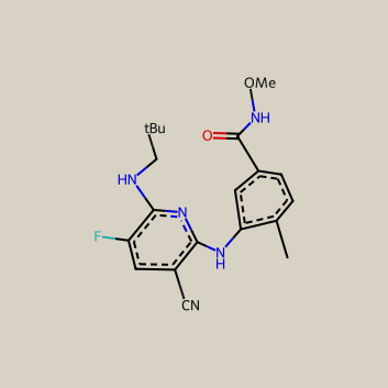 CONC(=O)c1ccc(C)c(Nc2nc(NCC(C)(C)C)c(F)cc2C#N)c1